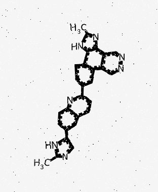 Cc1ncc(-c2ccc3nc(-c4ccc5c(c4)c4cnncc4c4nc(C)[nH]c54)ccc3c2)[nH]1